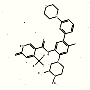 C[C@H]1CN(c2cc(F)c(-c3cccc(N4CCOCC4)n3)cc2NC(=O)c2c[nH]c(=O)cc2C(F)(F)F)CCN1C